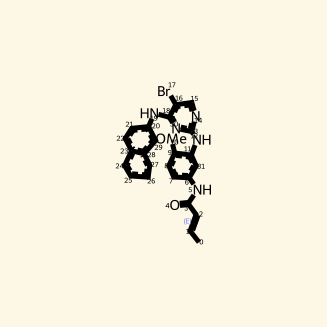 C/C=C/C(=O)Nc1ccc(OC)c(Nc2ncc(Br)c(Nc3ccc4ccccc4c3)n2)c1